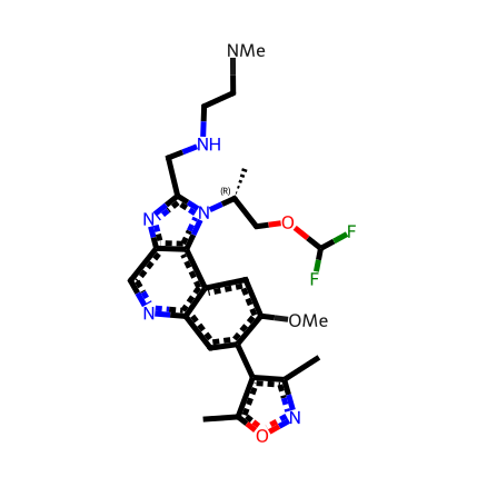 CNCCNCc1nc2cnc3cc(-c4c(C)noc4C)c(OC)cc3c2n1[C@H](C)COC(F)F